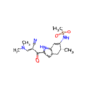 C[C@@H]1Cc2cc(C(=O)/C(C#N)=C/N(C)C)[nH]c2C=C1NS(C)(=O)=O